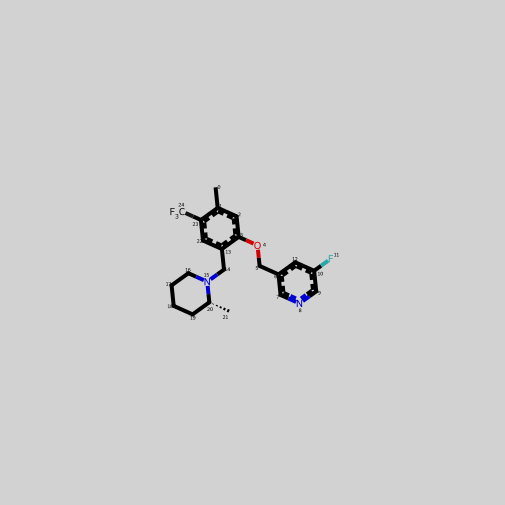 Cc1cc(OCc2cncc(F)c2)c(CN2CCCC[C@H]2C)cc1C(F)(F)F